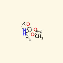 CC(=O)[C@H](Oc1cc(C)c2c(c1)OCCCCN2)C1CC1